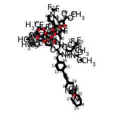 COC(=O)N[C@H](C(=O)N[C@@H](Cc1ccc(C#Cc2cnc(N3CC4CCC(C3)N4C3COC3)nc2)cc1)[C@H](CN(Cc1c(F)cc(-c2ccn(C(F)F)n2)cc1F)NC(=O)[C@@H](NC(=O)OC)C(C)(C)C(F)(F)F)OC(=O)CC(C)(C)c1c(CC(=O)NC23CC(C(=O)OC)(C2)C3)cc(C)cc1OP(=O)(O)O)C(C)(C)C(F)(F)F